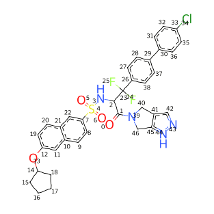 O=C(C(NS(=O)(=O)c1ccc2cc(OC3CCCC3)ccc2c1)C(F)(F)c1ccc(-c2ccc(Cl)cc2)cc1)N1Cc2cn[nH]c2C1